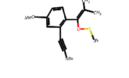 CCCCC#Cc1cc(OC)ccc1C(OSC(C)C)=C(C)C